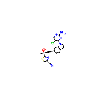 CC(O)(C#Cc1ccc2c(c1)N(c1nc(N)ncc1Cl)CC2)c1nc(C#N)cs1